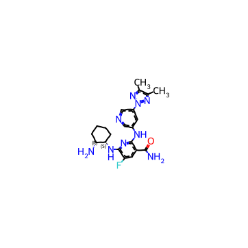 Cc1nn(-c2cncc(Nc3nc(N[C@H]4CCCC[C@H]4N)c(F)cc3C(N)=O)c2)nc1C